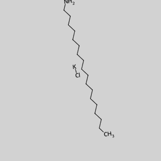 CCCCCCCCCCCCCCCCCCN.[Cl][K]